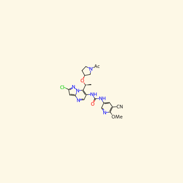 COc1ncc(NC(=O)Nc2cnc3cc(Cl)nn3c2[C@H](C)O[C@H]2CCN(C(C)=O)C2)cc1C#N